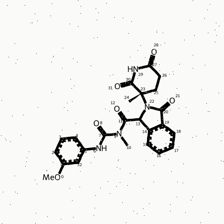 COc1cccc(NC(=O)N(C)C(=O)C2c3ccccc3C(=O)N2[C@@]2(C)CCC(=O)NC2=O)c1